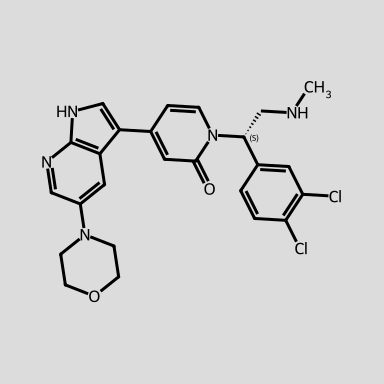 CNC[C@H](c1ccc(Cl)c(Cl)c1)n1ccc(-c2c[nH]c3ncc(N4CCOCC4)cc23)cc1=O